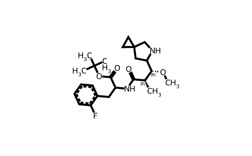 CO[C@@H](C1CC2(CC2)CN1)[C@@H](C)C(=O)NC(Cc1ccccc1F)C(=O)OC(C)(C)C